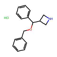 Cl.c1ccc(COC(c2ccccc2)C2CNC2)cc1